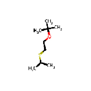 CC(C)SCCOC(C)(C)C